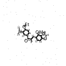 CCOc1ccc(C(=O)/C(C)=C/c2ccc3c(c2OC)OCO3)cc1N(C)C